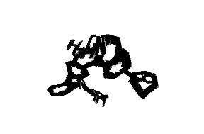 Cc1cc2c3ccccc3n(C(C)C)c2cc1-c1c2ccc(C3CC4CCC3CC4)cc2cc[n+]1C